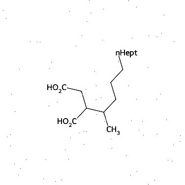 CCCCCCCCCCC(C)C(CC(=O)O)C(=O)O